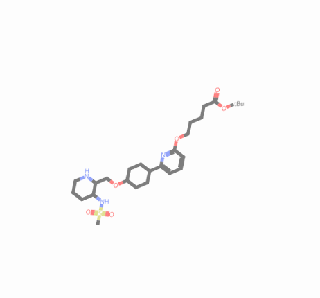 CC(C)(C)OC(=O)CCCCOc1cccc(C2CCC(OCC3NCCCC3NS(C)(=O)=O)CC2)n1